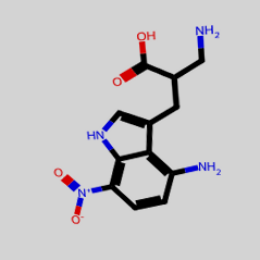 NCC(Cc1c[nH]c2c([N+](=O)[O-])ccc(N)c12)C(=O)O